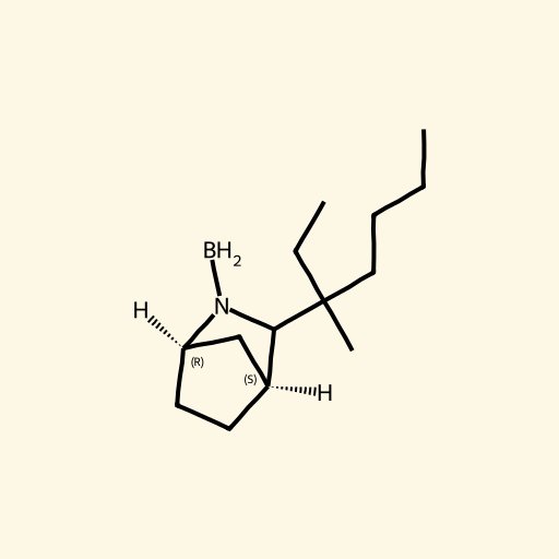 BN1C(C(C)(CC)CCCC)[C@H]2CC[C@@H]1C2